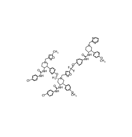 COc1ccc(C2CN(Cc3cc(C(F)(F)F)on3)CCC2NC(=O)Nc2ccc(Cl)cc2)cc1.COc1ccc(C2CN(Cc3cc(C)on3)CCC2NC(=O)Nc2ccc(Cl)cc2)cc1.COc1ccc(C2CN(Cc3ncccn3)CCC2NC(=O)Nc2ccc(Cl)cc2)cc1